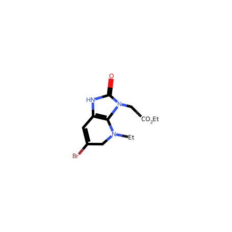 CCOC(=O)Cn1c2c([nH]c1=O)C=C(Br)CN2CC